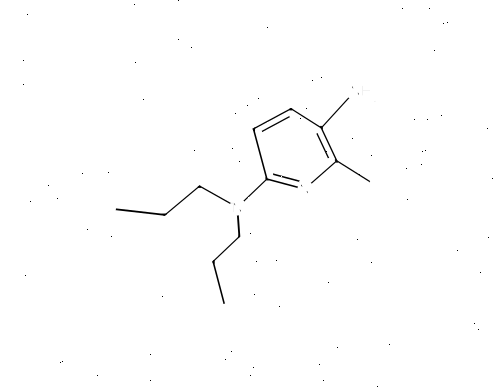 CCCN(CCC)c1ccc(N)c(C)n1